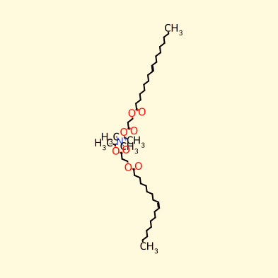 CCCCCCCCC=CCCCCCCCC(=O)OCCC(=O)OC(C)[N+](C)(C)C(C)OC(=O)CCOC(=O)CCCCCCC/C=C\CCCCCCCC